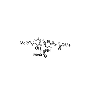 CO/N=C/c1ccc(Cc2nc(NNC(=O)OC)cc(SCCC(=O)OC)n2)cc1O